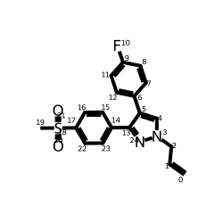 C=CCn1cc(-c2ccc(F)cc2)c(-c2ccc(S(C)(=O)=O)cc2)n1